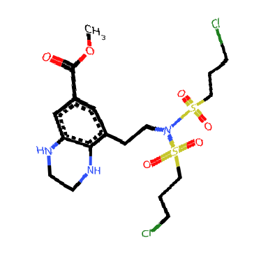 COC(=O)c1cc(CCN(S(=O)(=O)CCCCl)S(=O)(=O)CCCCl)c2c(c1)NCCN2